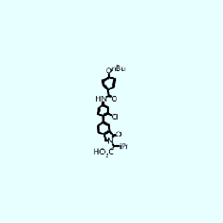 CCCCOc1ccc(C(=O)Nc2ccc(-c3ccc4c(c3)C(=O)N([C@H](C(=O)O)C(C)C)C4)c(Cl)c2)cc1